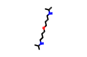 CC(C)NCCCCOCCCCNC(C)C